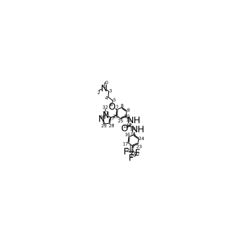 CN(C)CCCOc1ccc(NC(=O)Nc2ccc(C(F)(F)F)cc2)cc1-c1ccnn1C